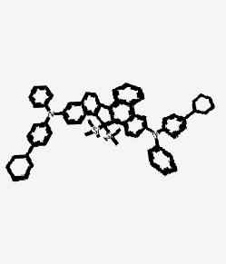 C[Si](C)(C)C1([Si](C)(C)C)c2c(ccc3cc(N(c4ccccc4)c4ccc(C5CCCCC5)cc4)ccc23)-c2c1c1ccc(N(c3ccccc3)c3ccc(C4CCCCC4)cc3)cc1c1ccccc21